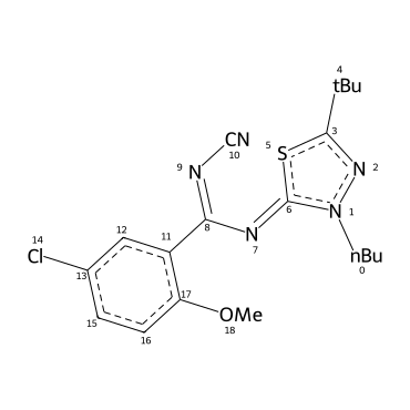 CCCCn1nc(C(C)(C)C)sc1=NC(=NC#N)c1cc(Cl)ccc1OC